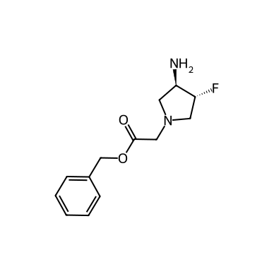 N[C@@H]1CN(CC(=O)OCc2ccccc2)C[C@H]1F